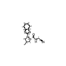 CC1C[C@@H](C(=O)NCC#N)N(c2nc3ccccc3s2)C1